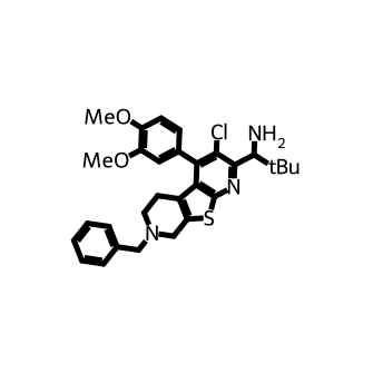 COc1ccc(-c2c(Cl)c(C(N)C(C)(C)C)nc3sc4c(c23)CCN(Cc2ccccc2)C4)cc1OC